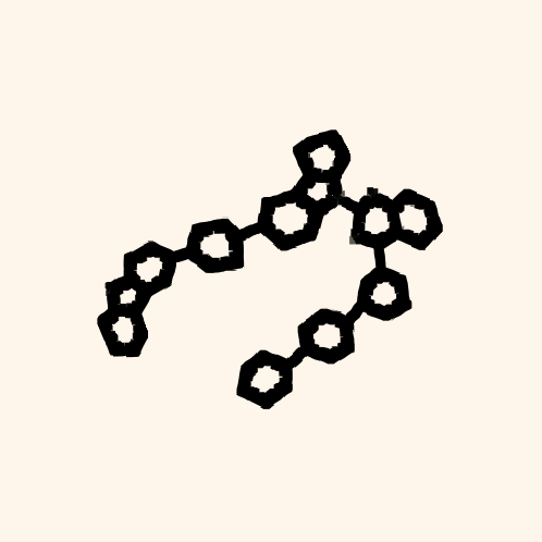 c1ccc(-c2ccc(-c3cccc(-c4nc(-n5c6ccccc6c6cc(-c7ccc(-c8ccc9sc%10ccccc%10c9c8)cc7)ccc65)nc5ccccc45)c3)cc2)cc1